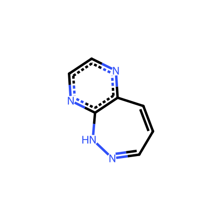 C1=Cc2nccnc2NN=C1